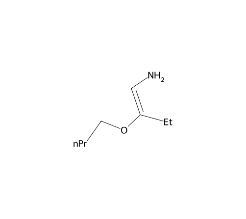 CCCCOC(=CN)CC